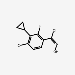 O/N=C(/Cl)c1ccc(Cl)c(C2CC2)c1F